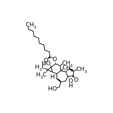 CCCCCCCCCC(=O)O[C@@H]1[C@@H](C)[C@]2(C)C3C=C(C)C(=O)[C@@]3(O)CC(CO)=C[C@H]2C2C(C)(C)[C@@]21O